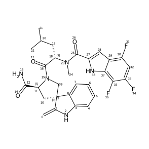 C=C1Nc2ccccc2[C@@]12C[C@@H](C(N)=O)N(C(=O)[C@H](CC(C)C)N(C)C(=O)c1cc3c(F)cc(F)c(F)c3[nH]1)C2